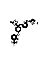 Cc1nnc(C2(Cc3cccc(Nc4cc[nH]n4)n3)CCC(Oc3cccc(C(F)(F)F)c3F)CC2)s1